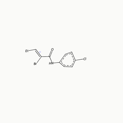 CC/C=C(\Br)C(=O)Nc1ccc(Cl)cc1